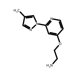 Cc1cnn(-c2cc(OCCN)ccn2)c1